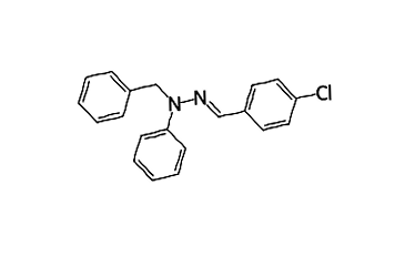 Clc1ccc(C=NN(Cc2ccccc2)c2ccccc2)cc1